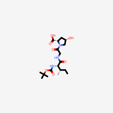 CC[C@H](C)[C@H](NC(=O)OC(C)(C)C)C(=O)NCC(=O)N1C[C@@H](O)C[C@H]1C(=O)O